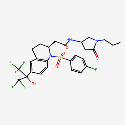 CCCN1CC(NC(=O)C[C@@H]2CCc3cc(C(O)(C(F)(F)F)C(F)(F)F)ccc3N2S(=O)(=O)c2ccc(F)cc2)CC1=O